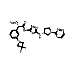 CO[C@H](C(=O)Nc1nnc(N[C@@H]2CCN(c3nccnn3)C2)s1)c1cccc(N2CC(F)(F)C2)c1